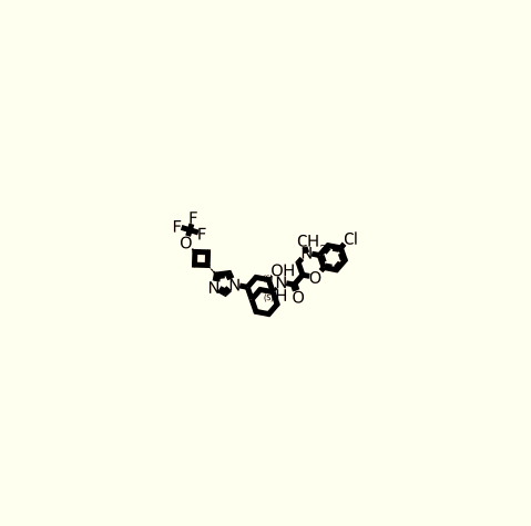 CN1CC(C(=O)N[C@@]23CCCC(C2)C(n2cnc([C@H]4C[C@@H](OC(F)(F)F)C4)c2)C[C@@H]3O)Oc2ccc(Cl)cc21